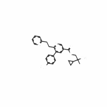 CC(O)(CNC(=O)c1cnc(CCc2ccccn2)c(-c2ccc(C(F)(F)F)cc2)c1)C1CC1